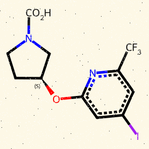 O=C(O)N1CC[C@H](Oc2cc(I)cc(C(F)(F)F)n2)C1